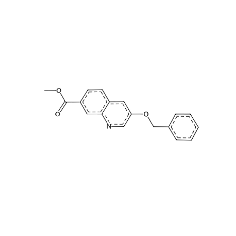 COC(=O)c1ccc2cc(OCc3ccccc3)cnc2c1